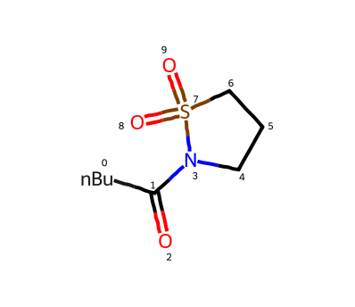 CCCCC(=O)N1CCCS1(=O)=O